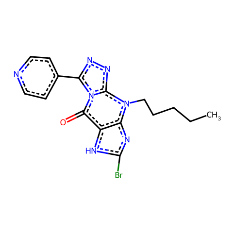 CCCCCn1c2nc(Br)[nH]c2c(=O)n2c(-c3ccncc3)nnc12